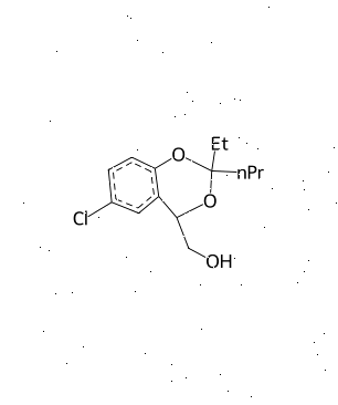 CCCC1(CC)Oc2ccc(Cl)cc2C(CO)O1